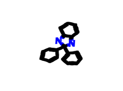 c1ccc(C2(c3ccccc3)N=c3ccccc3=N2)cc1